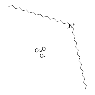 CCCCCCCCCCCCCCCCCC[N+](C)(C)CCCCCCCCCCCCCCCCCC.COC(=O)[O-]